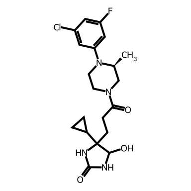 C[C@H]1CN(C(=O)CCC2(C3CC3)NC(=O)NC2O)CCN1c1cc(F)cc(Cl)c1